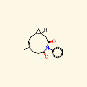 C/C1=C/CC2C[C@@H]2CC(=O)N(c2ccccc2)C(=O)CC1